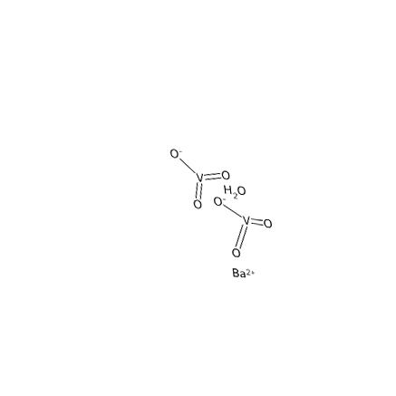 O.[Ba+2].[O]=[V](=[O])[O-].[O]=[V](=[O])[O-]